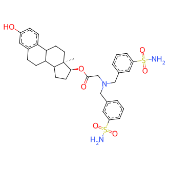 C[C@@]12CCC3c4ccc(O)cc4CCC3C1CC[C@@H]2OC(=O)CN(Cc1cccc(S(N)(=O)=O)c1)Cc1cccc(S(N)(=O)=O)c1